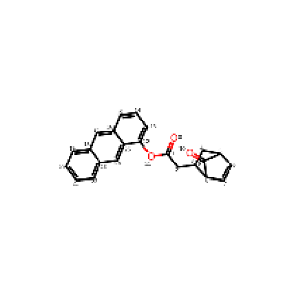 O=C(CC1CC2C=CC1C2=O)Oc1cccc2cc3ccccc3cc12